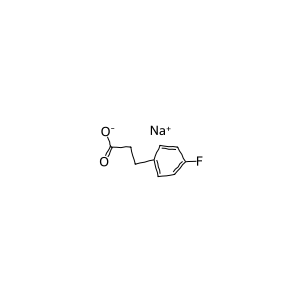 O=C([O-])CCc1ccc(F)cc1.[Na+]